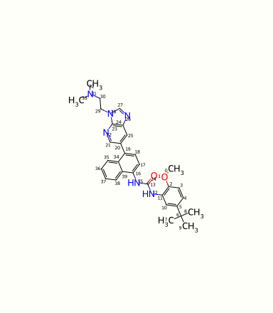 COc1ccc(C(C)(C)C)cc1NC(=O)Nc1ccc(-c2cnc3c(c2)ncn3CCN(C)C)c2ccccc12